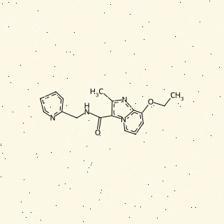 CCOc1cccn2c(C(=O)NCc3ccccn3)c(C)nc12